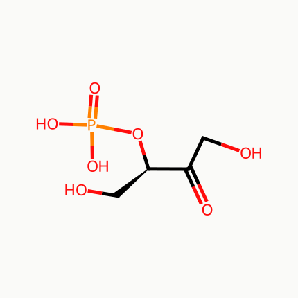 O=C(CO)[C@@H](CO)OP(=O)(O)O